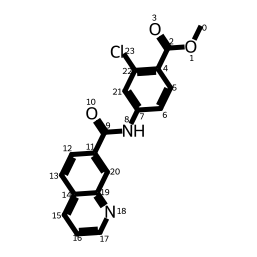 COC(=O)c1ccc(NC(=O)c2ccc3cccnc3c2)cc1Cl